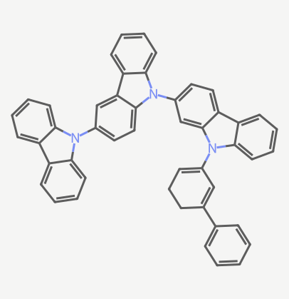 C1=C(c2ccccc2)CCC=C1n1c2ccccc2c2ccc(-n3c4ccccc4c4cc(-n5c6ccccc6c6ccccc65)ccc43)cc21